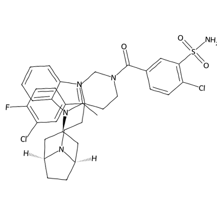 Cc1nc2ccccc2n1[C@H]1C[C@H]2CC[C@@H](C1)N2CCC1(c2ccc(F)c(Cl)c2)CCN(C(=O)c2ccc(Cl)c(S(N)(=O)=O)c2)CC1